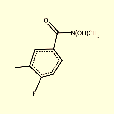 Cc1cc(C(=O)N(C)O)ccc1F